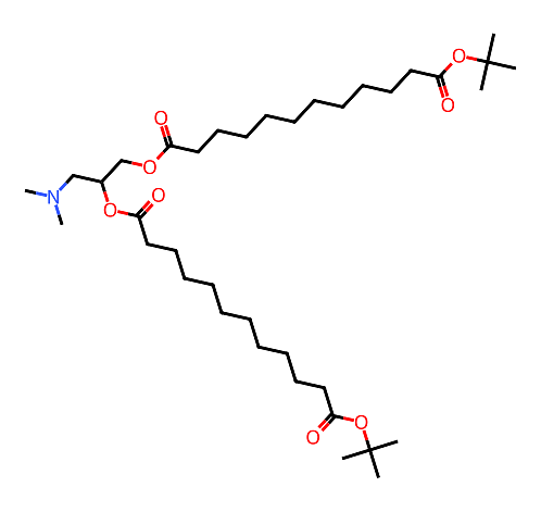 CN(C)CC(COC(=O)CCCCCCCCCCC(=O)OC(C)(C)C)OC(=O)CCCCCCCCCCC(=O)OC(C)(C)C